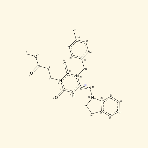 COC(=O)CCn1c(=O)[nH]/c(=N\N2CCc3ccccc32)n(Cc2ccc(C)cc2)c1=O